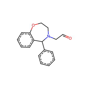 O=CCN1CCOc2ccccc2C1c1ccccc1